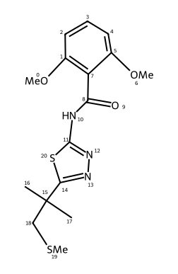 COc1cccc(OC)c1C(=O)Nc1nnc(C(C)(C)CSC)s1